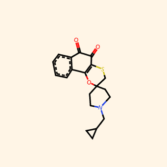 O=C1C(=O)c2ccccc2C2=C1SCC1(CCN(CC3CC3)CC1)O2